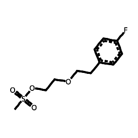 CS(=O)(=O)OCCOCCc1ccc(F)cc1